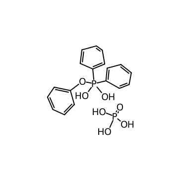 O=P(O)(O)O.OP(O)(Oc1ccccc1)(c1ccccc1)c1ccccc1